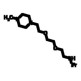 CC(C)NCCOCCOCCN1CCN(C)CC1